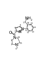 CN1CCN(C(=O)c2ccn(-c3ccccc3CN)n2)CC1